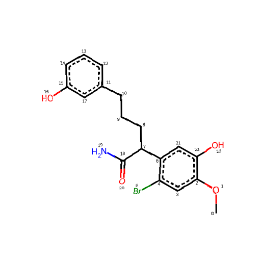 COc1cc(Br)c(C(CCCc2cccc(O)c2)C(N)=O)cc1O